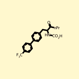 CCCC(=O)C(Cc1ccc(-c2ccc(C(F)(F)F)cc2)cc1)NC(=O)O